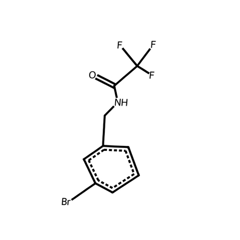 O=C(NCc1cccc(Br)c1)C(F)(F)F